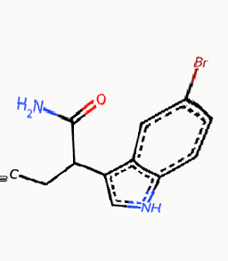 CCC(C(N)=O)c1c[nH]c2ccc(Br)cc12